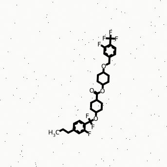 CCCc1ccc(C(F)(F)OC2CCC(C(=O)OC3CCC(OCc4ccc(C(F)(F)F)c(F)c4)CC3)CC2)c(F)c1